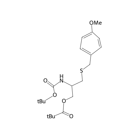 COc1ccc(CSCC(COC(=O)C(C)(C)C)NC(=O)OC(C)(C)C)cc1